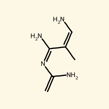 C=C(N)/N=C(N)\C(C)=C/N